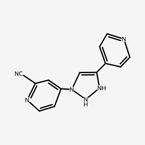 N#Cc1cc(N2C=C(c3ccncc3)NN2)ccn1